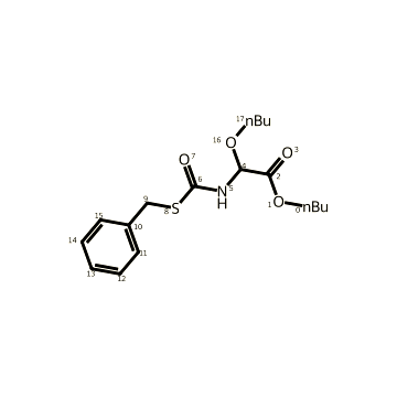 CCCCOC(=O)C(NC(=O)SCc1ccccc1)OCCCC